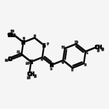 Cc1ccc(N=C2SCN(C(C)(C)C)C(=O)N2C)cc1